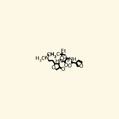 CCC(C)(C)C[C@H](NC(=O)c1ccoc1)C(=O)NC1C(=O)COC1CCN(C)C